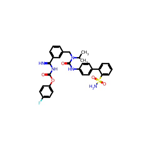 CC(C)N(Cc1cccc(C(=N)NC(=O)Oc2ccc(F)cc2)c1)C(=O)Nc1ccc(-c2ccccc2S(N)(=O)=O)cc1